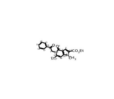 CCOC(=O)c1cc2c(=O)n(CC(=O)c3ccccc3)c(CC)cc2n1C